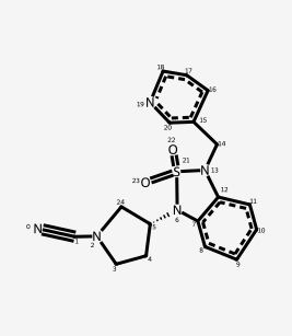 N#CN1CC[C@@H](N2c3ccccc3N(Cc3cccnc3)S2(=O)=O)C1